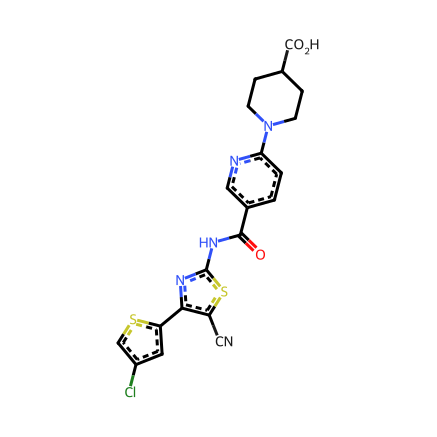 N#Cc1sc(NC(=O)c2ccc(N3CCC(C(=O)O)CC3)nc2)nc1-c1cc(Cl)cs1